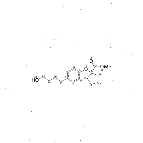 COC(=O)C1(Oc2ccc(CCCCO)cc2)CCCC1